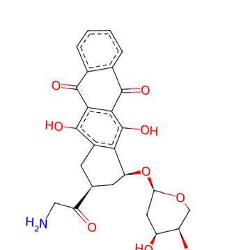 NCC(=O)[C@H]1Cc2c(O)c3c(c(O)c2[C@@H](O[C@@H]2C[C@H](O)[C@H](O)CO2)C1)C(=O)c1ccccc1C3=O